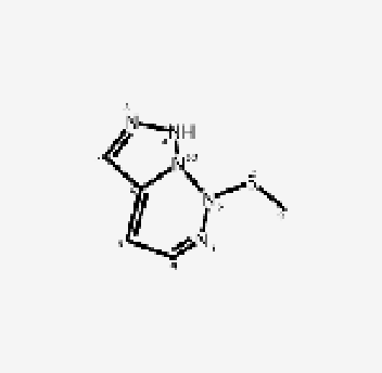 CSN1N=CC=C2C=NNN21